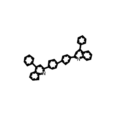 c1ccc(-c2cc(-c3ccc(-c4ccc(-c5cc(-c6ccccc6)c6ccccc6n5)cc4)cc3)nc3ccccc23)cc1